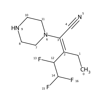 CCC(=C(C#N)N1CCNCC1)C(F)C(F)F